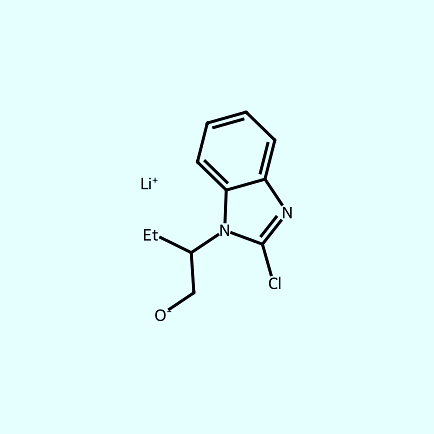 CCC(C[O-])n1c(Cl)nc2ccccc21.[Li+]